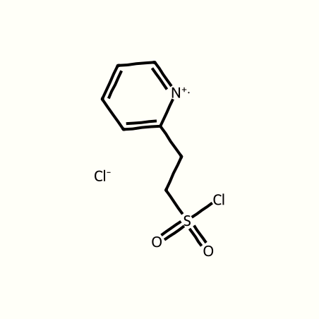 O=S(=O)(Cl)CCC1=CC=CC=[N+]1.[Cl-]